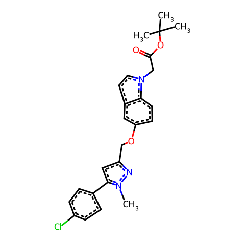 Cn1nc(COc2ccc3c(ccn3CC(=O)OC(C)(C)C)c2)cc1-c1ccc(Cl)cc1